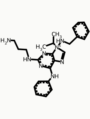 CC(C)[N+]1(NCc2ccccc2)C=Nc2c(Nc3ccccc3)nc(NCCCN)nc21